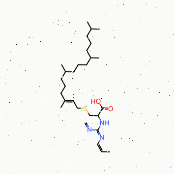 C=N/C(=N\C=C/C)NC(CSC/C=C(\C)CCCC(C)CCCC(C)CCCC(C)C)C(=O)O